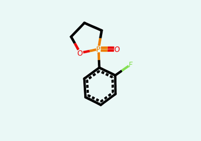 O=P1(c2ccccc2F)CCCO1